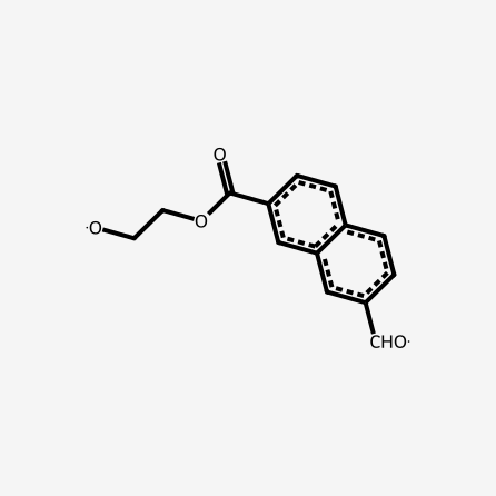 [O]CCOC(=O)c1ccc2ccc([C]=O)cc2c1